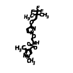 Cc1nn(C)cc1S(=O)(=O)NCOn1ccc(OCC(C)(C)C(F)(F)F)n1